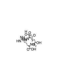 N=C(N)NCCC[C@H](N)C(=O)O.N[C@@H](CSCC(=O)O)C(=O)O.O